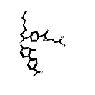 CCCCCCC(Oc1ccc(-c2ccc(C(C)=O)cc2)c(C)c1)c1ccc(C(=O)NCCC(=O)O)cc1